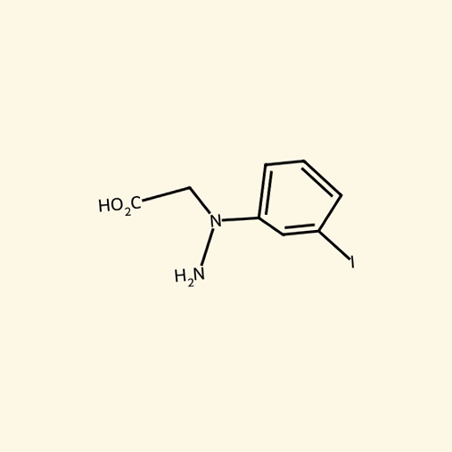 NN(CC(=O)O)c1cccc(I)c1